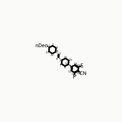 CCCCCCCCCC[C@H]1CC[C@H](C=C[C@H]2CC[C@H](c3cc(F)c(C#N)c(F)c3)CC2)CC1